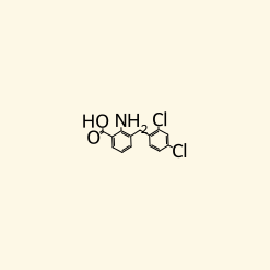 Nc1c(Cc2ccc(Cl)cc2Cl)cccc1C(=O)O